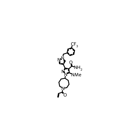 C=CC(=O)N1CCCC(n2nc(-c3cnn(Cc4cccc(C(F)(F)F)c4)c3)c(C(N)=O)c2NC)CCC1